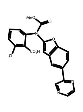 COC(=O)N(c1cc2cc(-c3cnccn3)ccc2o1)c1cccc(Cl)c1C(=O)O